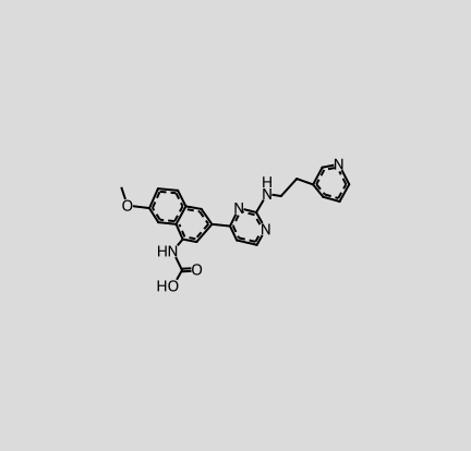 COc1ccc2cc(-c3ccnc(NCCc4cccnc4)n3)cc(NC(=O)O)c2c1